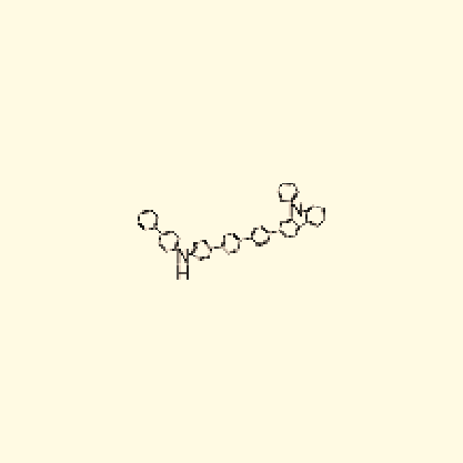 c1ccc(-c2ccc(Nc3ccc(-c4ccc(-c5ccc(-c6ccc7c8ccccc8n(-c8ccccc8)c7c6)cc5)cc4)cc3)cc2)cc1